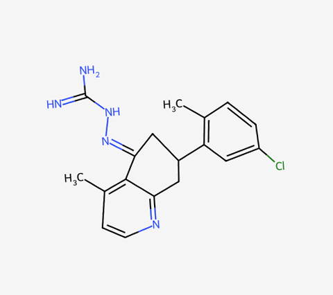 Cc1ccc(Cl)cc1C1CC(=NNC(=N)N)c2c(C)ccnc2C1